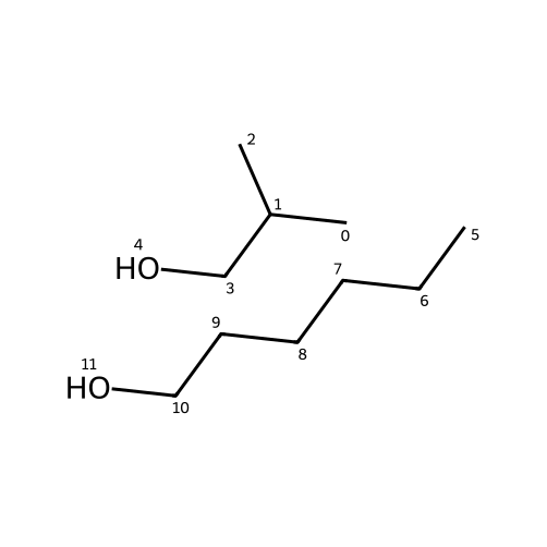 CC(C)CO.CCCCCCO